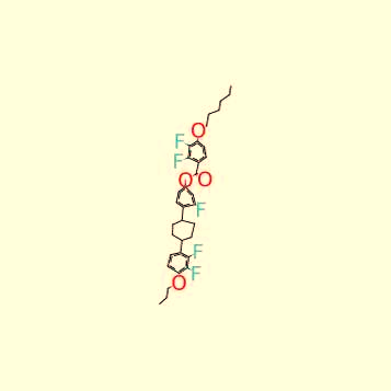 CCCCCCOc1ccc(C(=O)Oc2ccc(C3CCC(c4ccc(OCCC)c(F)c4F)CC3)c(F)c2)c(F)c1F